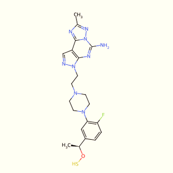 Cc1nc2c3cnn(CCN4CCN(c5cc([C@H](C)OS)ccc5F)CC4)c3nc(N)n2n1